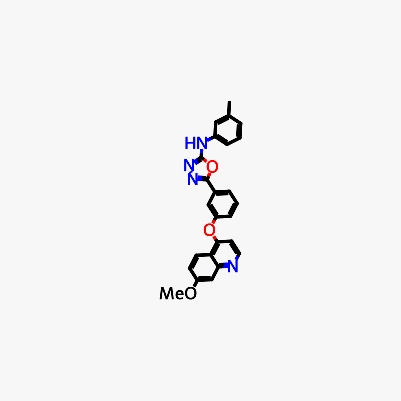 COc1ccc2c(Oc3cccc(-c4nnc(Nc5cccc(C)c5)o4)c3)ccnc2c1